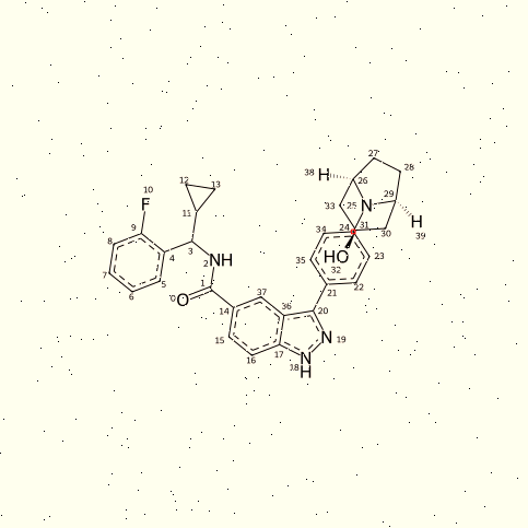 O=C(NC(c1ccccc1F)C1CC1)c1ccc2[nH]nc(-c3ccc(N4[C@@H]5CC[C@H]4C[C@@H](O)C5)cc3)c2c1